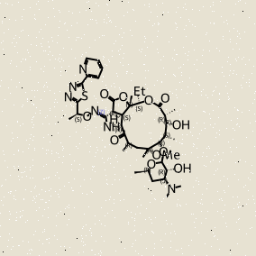 CC[C@@H]1OC(=O)[C@H](C)[C@H](O)[C@H](C)[C@@H](OC2O[C@H](C)C[C@H](N(C)C)[C@H]2O)[C@](C)(OC)C[C@@H](C)C(=O)[C@H](C)[C@H]2[C@H](/C(N)=N/O[C@@H](C)c3nnc(-c4ccccn4)s3)C(=O)O[C@@]21C